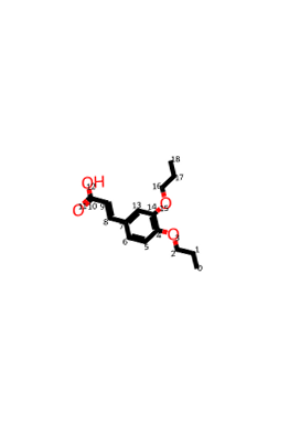 CCCOc1ccc(C=CC(=O)O)cc1OCCC